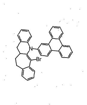 BrC1=C2C(CCc3ccccc31)Cc1ccccc1N2c1ccc2c3ccccc3c3ccccc3c2c1